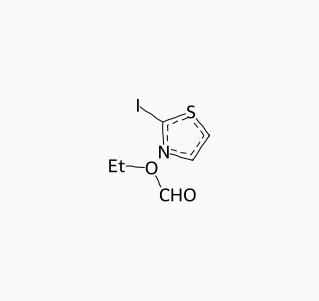 CCOC=O.Ic1nccs1